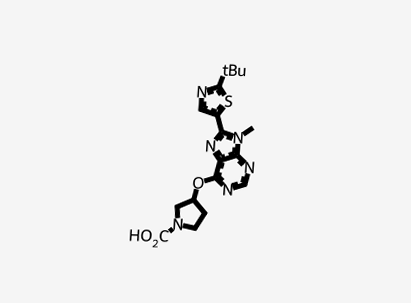 Cn1c(-c2cnc(C(C)(C)C)s2)nc2c(OC3CCN(C(=O)O)C3)ncnc21